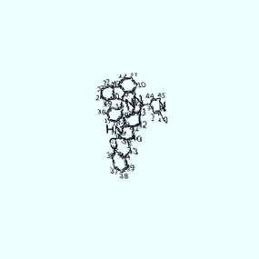 Cc1cc(-c2nn(C(c3ccccc3)(c3ccccc3)c3ccccc3)c3cc4[nH]c(=O)c(Cc5ccccc5)cc4cc23)ccn1